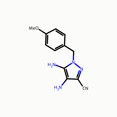 COc1ccc(Cn2nc(C#N)c(N)c2N)cc1